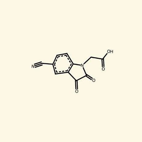 N#Cc1ccc2c(c1)C(=O)C(=O)N2CC(=O)O